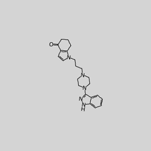 O=C1CCCc2c1ccn2CCCN1CCN(c2n[nH]c3ccccc23)CC1